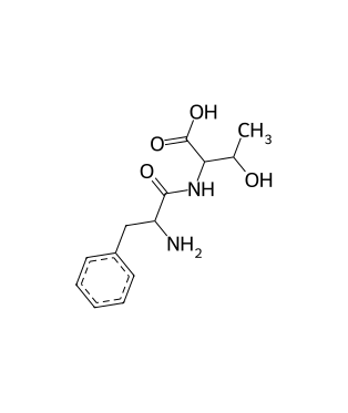 CC(O)C(NC(=O)C(N)Cc1ccccc1)C(=O)O